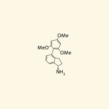 COc1cc(OC)c(-c2cccc3c2CC[C@H]3N)c(OC)c1